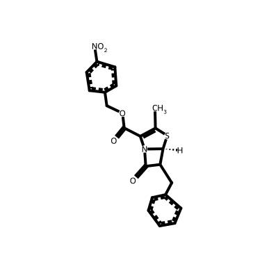 CC1=C(C(=O)OCc2ccc([N+](=O)[O-])cc2)N2C(=O)C(Cc3ccccc3)[C@@H]2S1